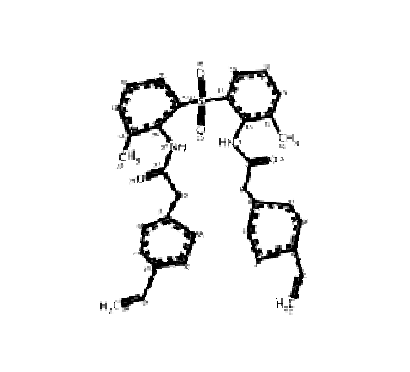 C=Cc1ccc(CC(=O)Nc2c(C)cccc2S(=O)(=O)c2cccc(C)c2NC(=O)Cc2ccc(C=C)cc2)cc1